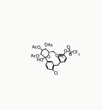 CC(=O)OC[C@H]1O[C@](O)(c2ccc(Cl)c(Cc3ccc(OS(=O)(=O)C(F)(F)F)cc3)c2)[C@H](OC(C)=O)[C@@H](OC(C)=O)[C@@H]1OC(C)=O